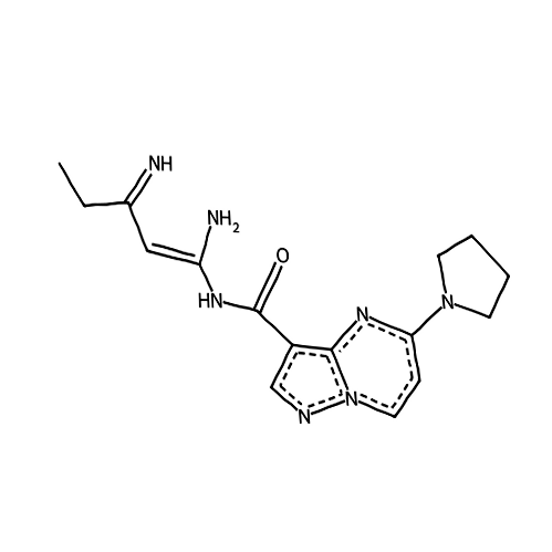 CCC(=N)/C=C(\N)NC(=O)c1cnn2ccc(N3CCCC3)nc12